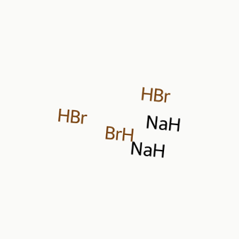 Br.Br.Br.[NaH].[NaH]